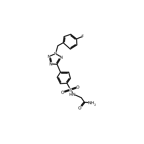 NC(=O)CNS(=O)(=O)c1ccc(-c2nnn(Cc3ccc(F)cc3)n2)cc1